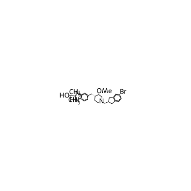 CO[C@@H]1CN(CC2Cc3ccc(Br)cc3C2)CC[C@@H]1Cc1ccc2[nH]c(C(C)(C)O)nc2c1